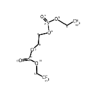 O=S(OCCOS(=O)OCC(F)(F)F)OCC(F)(F)F